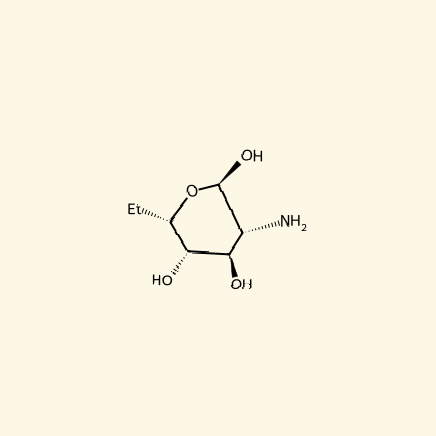 CC[C@@H]1O[C@@H](O)[C@H](N)[C@@H](O)[C@@H]1O